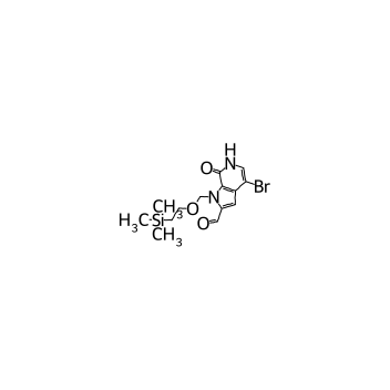 C[Si](C)(C)CCOCn1c(C=O)cc2c(Br)c[nH]c(=O)c21